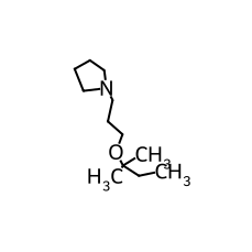 CCC(C)(C)OCCCN1CCCC1